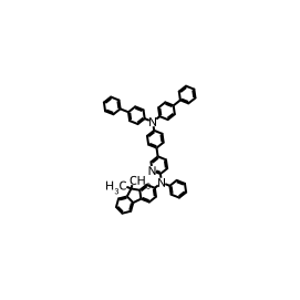 CC1(C)c2ccccc2-c2ccc(N(c3ccccc3)c3ccc(-c4ccc(N(c5ccc(-c6ccccc6)cc5)c5ccc(-c6ccccc6)cc5)cc4)cn3)cc21